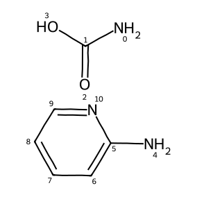 NC(=O)O.Nc1ccccn1